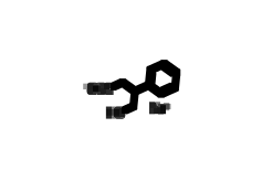 O=C([O-])CC(CO)c1ccccc1.[Na+]